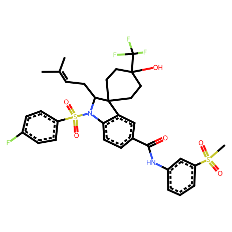 CC(C)=CCC1N(S(=O)(=O)c2ccc(F)cc2)c2ccc(C(=O)Nc3cccc(S(C)(=O)=O)c3)cc2C12CCC(O)(C(F)(F)F)CC2